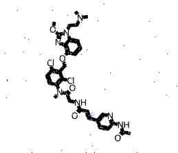 COc1nc2c(OCc3c(Cl)ccc(N(C)C(=O)CNC(=O)/C=C/c4ccc(NC(C)=O)nc4)c3Cl)cccc2n1CCN(C)C